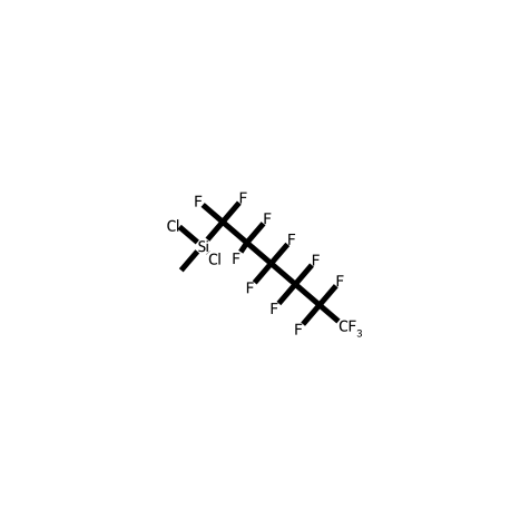 C[Si](Cl)(Cl)C(F)(F)C(F)(F)C(F)(F)C(F)(F)C(F)(F)C(F)(F)F